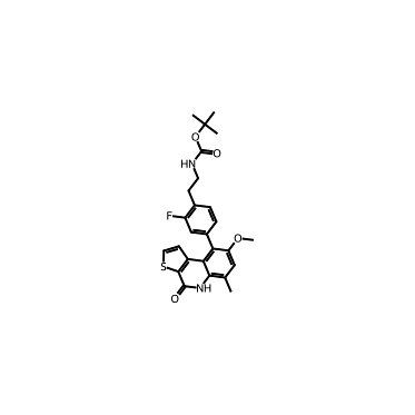 COc1cc(C)c2[nH]c(=O)c3sccc3c2c1-c1ccc(CCNC(=O)OC(C)(C)C)c(F)c1